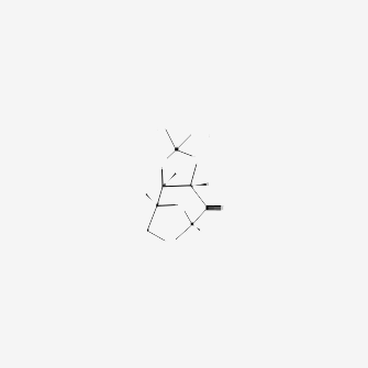 CC1(C)O[C@@H]2[C@H](O1)C(=O)[C@@H]1OC[C@H]2O1